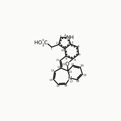 O=C(O)Cc1c[nH]c2ccc3c(c12)C=C1C=CC=CN2C=CC=CC12O3